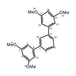 COc1cc(OC)cc(-c2cccc(-c3cc(OC)cc(OC)c3)c2)c1